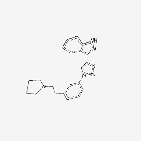 c1cc(CCN2CCCC2)cc(-n2cc(-c3n[nH]c4ccccc34)nn2)c1